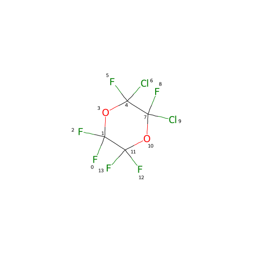 FC1(F)OC(F)(Cl)C(F)(Cl)OC1(F)F